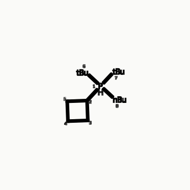 CCCC[PH](C1CCC1)(C(C)(C)C)C(C)(C)C